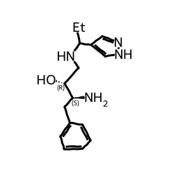 CCC(NC[C@@H](O)[C@@H](N)Cc1ccccc1)c1cn[nH]c1